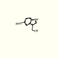 COc1ccc2[nH]cc(CC#N)c2c1